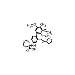 CCc1c(-c2ccc(NC3(C(=O)O)CCOCC3)cc2COC2CCCC2)cc(OC)c(C)c1OC